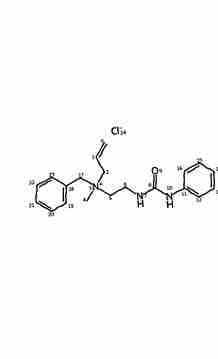 C=CC[N+](C)(CCNC(=O)Nc1ccccc1)Cc1ccccc1.[Cl-]